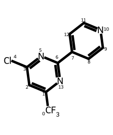 FC(F)(F)c1cc(Cl)nc(-c2ccncc2)n1